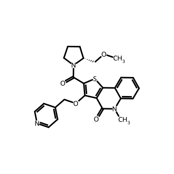 COC[C@H]1CCCN1C(=O)c1sc2c(c1OCc1ccncc1)c(=O)n(C)c1ccccc21